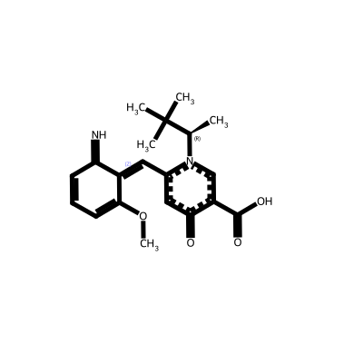 COC1=CC=CC(=N)/C1=C/c1cc(=O)c(C(=O)O)cn1[C@H](C)C(C)(C)C